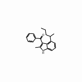 CCCC(C)c1cccc2[nH]c(C)c(C(=O)c3ccccc3)c12